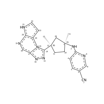 C[C@]1(Nc2ccc(C#N)cn2)CC[C@@](C)(c2nnc3cnc4[nH]ccc4n23)C1